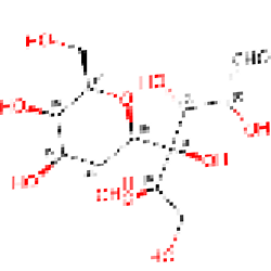 O=C[C@H](O)[C@@H](O)[C@](O)([C@H](O)CO)[C@@H]1O[C@H](CO)[C@H](O)[C@H](O)[C@H]1O